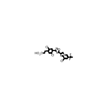 CC(F)(F)c1cc(Cl)c2nc(-c3nc(-c4cc(Cl)c(CCC(=O)O)cc4Cl)no3)cn2c1